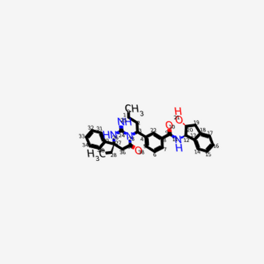 CCCC(c1cccc(C(=O)N[C@@H]2c3ccccc3C[C@H]2O)c1)N1C(=N)N[C@@](CC)(c2ccccc2)CC1=O